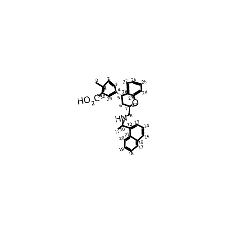 Cc1ccc([C@H]2C[C@H](CNC(C)c3cccc4ccccc34)Oc3ccccc32)cc1C(=O)O